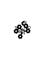 c1ccc(C2N=C(c3cccc4oc5cc6ncccc6cc5c34)N=C(c3cccc4sc5ccccc5c34)N2)cc1